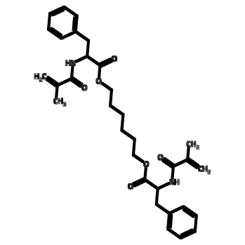 C=C(C)C(=O)NC(Cc1ccccc1)C(=O)OCCCCCCOC(=O)C(Cc1ccccc1)NC(=O)C(=C)C